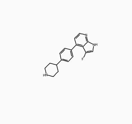 Fc1c[nH]c2nccc(-c3ccc(C4CCNCC4)cc3)c12